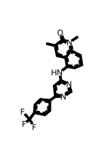 Cc1cc2c(Nc3cc(-c4ccc(C(F)(F)F)cc4)ncn3)cccc2n(C)c1=O